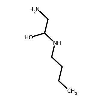 CCCCNC(O)CN